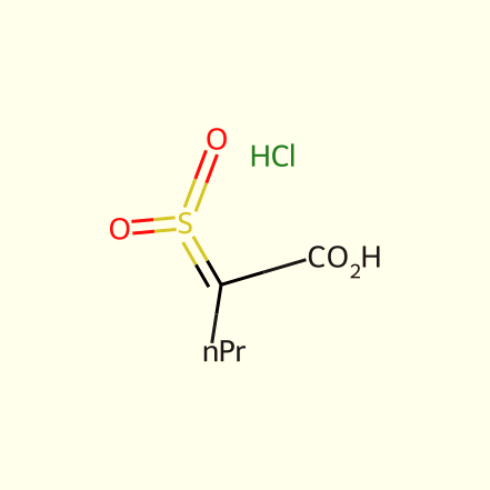 CCCC(C(=O)O)=S(=O)=O.Cl